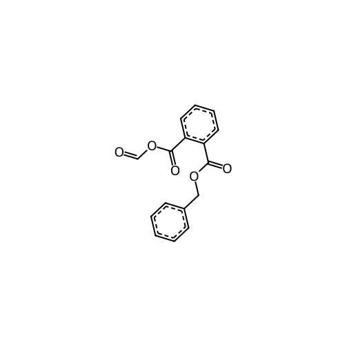 O=COC(=O)c1ccccc1C(=O)OCc1ccccc1